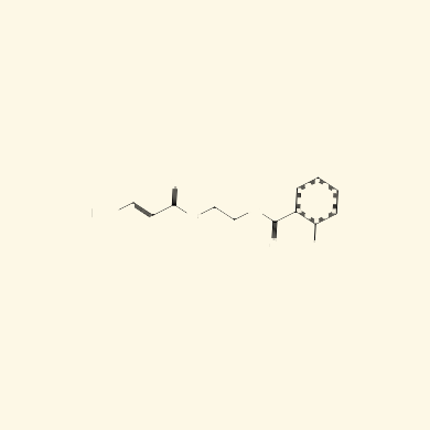 C/C=C/C(=O)OCCOC(=O)c1ccccc1O